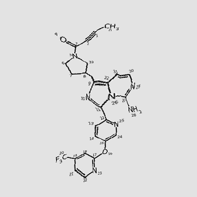 CC#CC(=O)N1CCC(c2nc(-c3ccc(Oc4cc(C(F)(F)F)ccn4)cn3)n3c(N)nccc23)C1